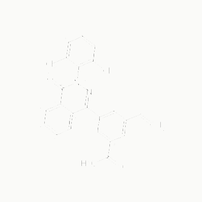 C=Cc1cc(C(C)=O)cc(-c2nn(-c3c(Cl)cccc3Cl)c(=O)c3ccccc23)c1